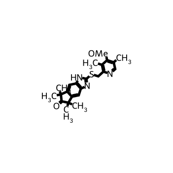 COc1c(C)cnc(CSc2nc3cc4c(cc3[nH]2)C(C)(C)C(=O)C4(C)C)c1C